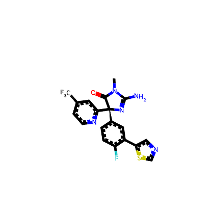 CN1C(=O)[C@@](c2ccc(F)c(-c3cncs3)c2)(c2cc(C(F)(F)F)ccn2)N=C1N